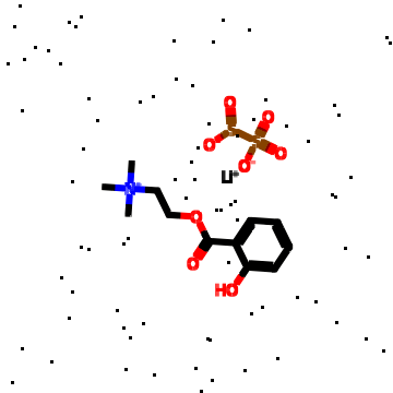 C[N+](C)(C)CCOC(=O)c1ccccc1O.O=S([O-])S(=O)(=O)[O-].[Li+]